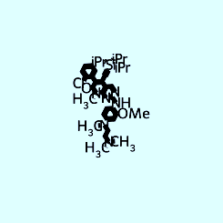 COc1cc(N(C)CCN(C)C)ccc1Nc1ncc2c(C#C[Si](C(C)C)(C(C)C)C(C)C)c(-c3ccccc3Cl)c(=O)n(C)c2n1